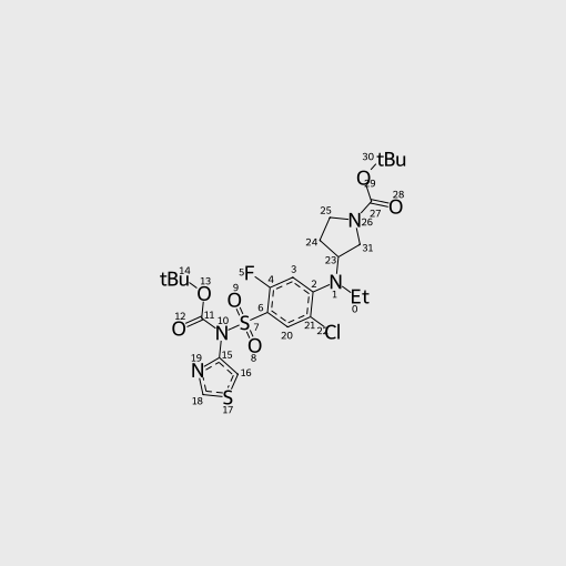 CCN(c1cc(F)c(S(=O)(=O)N(C(=O)OC(C)(C)C)c2cscn2)cc1Cl)C1CCN(C(=O)OC(C)(C)C)C1